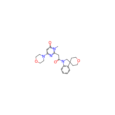 Cn1c(CC(=O)N2CC3(CCOCC3)c3ccccc32)nc(N2CCOCC2)cc1=O